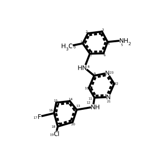 Cc1ccc(N)cc1Nc1cc(Nc2ccc(F)c(Cl)c2)ncn1